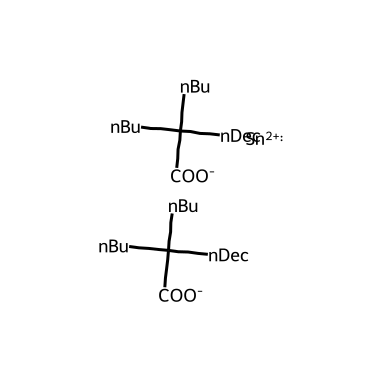 CCCCCCCCCCC(CCCC)(CCCC)C(=O)[O-].CCCCCCCCCCC(CCCC)(CCCC)C(=O)[O-].[Sn+2]